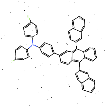 Fc1ccc(N(c2ccc(F)cc2)c2ccc(-c3ccc4c(-c5ccc6ccccc6c5)c5ccccc5c(-c5ccc6ccccc6c5)c4c3)cc2)cc1